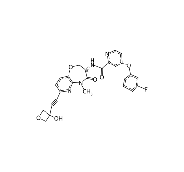 CN1C(=O)[C@@H](NC(=O)c2cc(Oc3cccc(F)c3)ccn2)COc2ccc(C#CC3(O)COC3)nc21